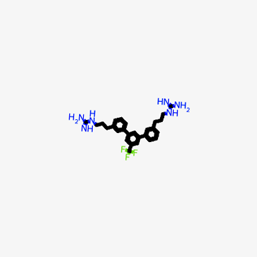 N=C(N)NCCCc1cccc(-c2cc(-c3cccc(CCCNC(=N)N)c3)cc(C(F)(F)F)c2)c1